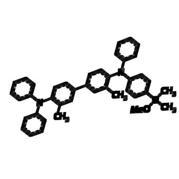 CO[Si](C)(C)c1ccc(N(c2ccccc2)c2ccc(-c3ccc(N(c4ccccc4)c4ccccc4)c(C)c3)cc2C)cc1